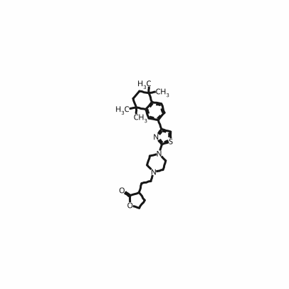 CC1(C)CCC(C)(C)c2cc(-c3csc(N4CCN(CCC5CCOC5=O)CC4)n3)ccc21